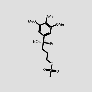 COc1cc([C@](C#N)(CCCOS(C)(=O)=O)C(C)C)cc(OC)c1OC